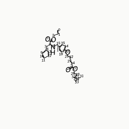 C=CCOC(=O)[C@H](Cc1ccccc1)NCc1ccc(OCCCCC(=O)OCC[Si](C)(C)C)cc1